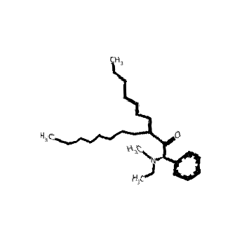 CCCCCCCCC(CCCCCCC)C(=O)[C@@H](c1ccccc1)N(C)CC